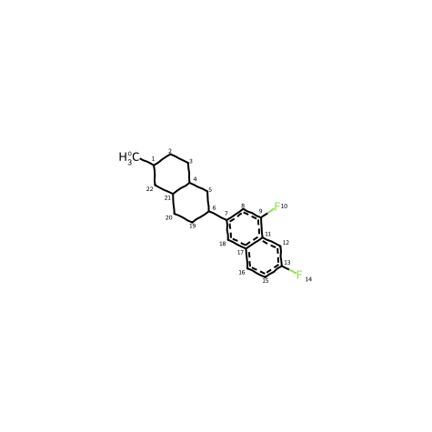 CC1CCC2CC(c3cc(F)c4cc(F)ccc4c3)CCC2C1